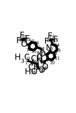 CCC(C)(C)[C@H](NC(=O)c1ccc2ccc(C(F)(F)F)nc2c1OCc1ccc(OC(F)(F)F)cc1)C(=O)O